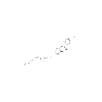 C=CC(=O)OCCC(F)(F)C(F)(F)C(F)(F)C(F)(F)CCOc1ccc2cc(-c3ccc(OC)cc3C(F)(F)F)c(=O)oc2c1